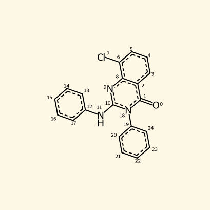 O=c1c2cccc(Cl)c2nc(Nc2ccccc2)n1-c1ccccc1